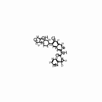 C[C@]1(N2CCC(c3cc4cc(NC(=O)[C@H]5C[C@]5(C)c5ccccn5)ncc4cc3Cl)CC2)COC[C@H]1O